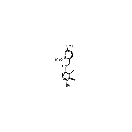 COc1ccc(CNc2cnn(C(C)C)c(=O)c2C)c(OC)c1